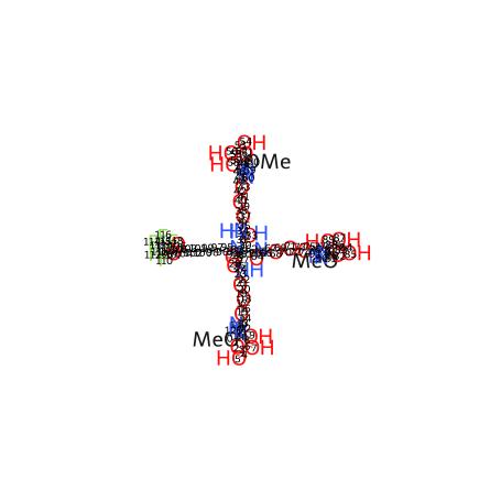 CO[C@@H]1O[C@H](CO)[C@H](O)[C@H](O)[C@H]1n1cc(COCCOCCOCCNC(=O)CCC(CCC(=O)NCCOCCOCCOCc2cn([C@H]3[C@H](OC)O[C@H](CO)[C@H](O)[C@@H]3O)nn2)(CCC(=O)NCCOCCOCCOCc2cn([C@H]3[C@H](OC)O[C@H](CO)[C@H](O)[C@@H]3O)nn2)NC(=O)CCCCCCCCCCC(=O)Oc2c(F)c(F)c(F)c(F)c2F)nn1